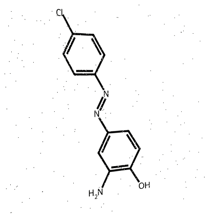 Nc1cc(N=Nc2ccc(Cl)cc2)ccc1O